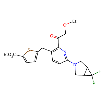 CCOCC(=O)c1nc(N2CC3C(C2)C3(F)F)ccc1Cc1ccc(C(=O)OCC)s1